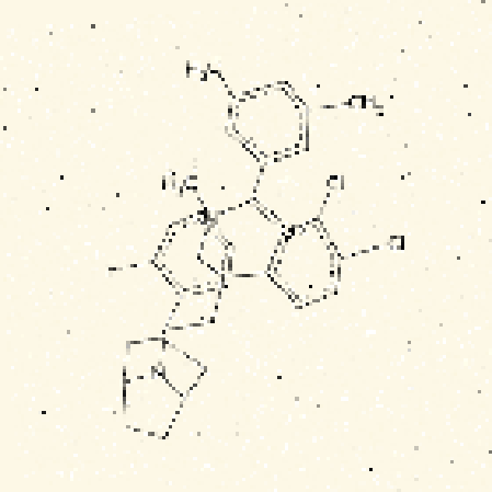 Cc1cc(C)cc(C(=O)N(C)CC(CCN2C3CCC2CC(c2ccccc2F)C3)c2ccc(Cl)c(Cl)c2)c1